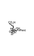 CCCCC[C@@H](O)/C=C/[C@H]1O[C@@H]2C[C@@H](O2)[C@@H]1C/C=C\CCCC(=O)O